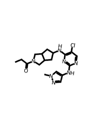 CCC(=O)N1CC2CC(Nc3nc(Nc4cnn(C)c4)ncc3Cl)CC2C1